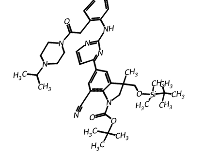 CC(C)N1CCN(C(=O)Cc2ccc(Cl)cc2Nc2nccc(-c3cc(C#N)c4c(c3)C(C)(CO[Si](C)(C)C(C)(C)C)CN4C(=O)OC(C)(C)C)n2)CC1